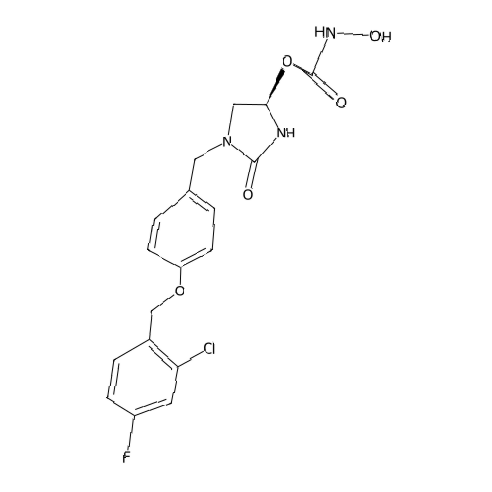 O=C(NO)O[C@@H]1CN(Cc2ccc(OCc3ccc(F)cc3Cl)cc2)C(=O)N1